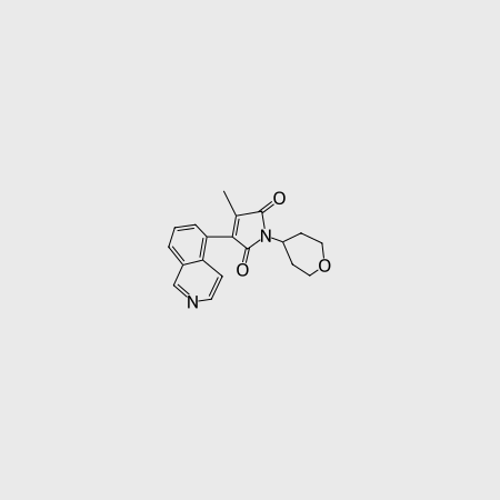 CC1=C(c2cccc3cnccc23)C(=O)N(C2CCOCC2)C1=O